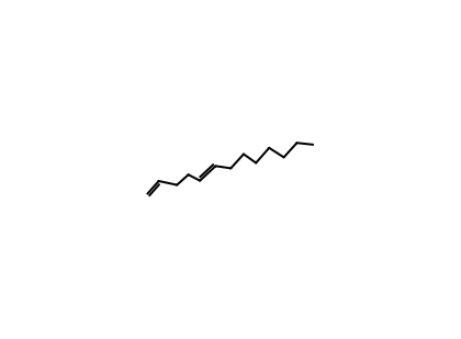 C=CCCC=CCCCCCCC